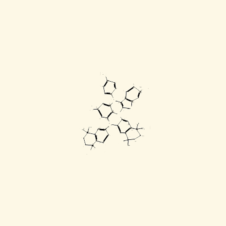 CC(C)(C)c1ccc(N2c3cc(C(C)(C)C)cc4c3B(c3cc5c(cc3N4c3ccc4c(c3)C(C)(C)CCC4(C)C)C(C)(C)CCC5(C)C)c3sc4cc(C(C)(C)C)ccc4c32)cc1